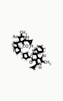 CC(=O)C1=C(C)NC(C2CC2)=C(C(=O)O)C1c1csc2ncccc12.CC(=O)C1=C(C)NC(C2CC2)=C(C(=O)OC2CCCC2)C1c1csc2ncccc12